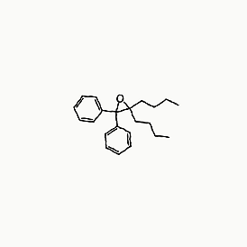 CCCCC1(CCCC)OC1(c1ccccc1)c1ccccc1